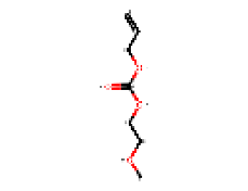 C=CCOC(=O)OCCOC